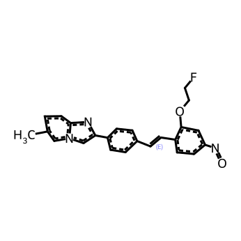 Cc1ccc2nc(-c3ccc(/C=C/c4ccc(N=O)cc4OCCF)cc3)cn2c1